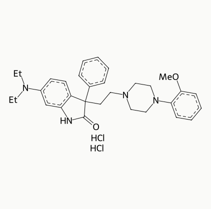 CCN(CC)c1ccc2c(c1)NC(=O)C2(CCN1CCN(c2ccccc2OC)CC1)c1ccccc1.Cl.Cl